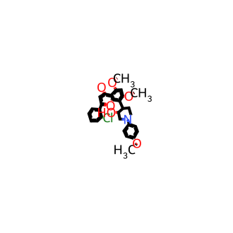 COc1ccc(N2CCC(c3c(OC)cc(OC)c4c(=O)cc(-c5ccccc5Cl)oc34)C(O)C2)cc1